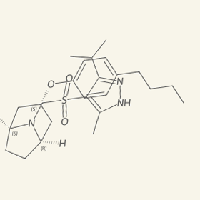 CCCCc1ccc(O[C@@H]2C[C@H]3CC[C@@H](C2)N3CS(=O)(=O)c2c(C(C)C)n[nH]c2C)cc1